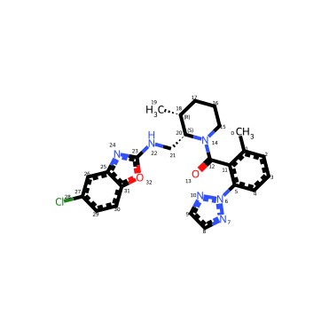 Cc1cccc(-n2nccn2)c1C(=O)N1CCC[C@@H](C)[C@H]1CNc1nc2cc(Cl)ccc2o1